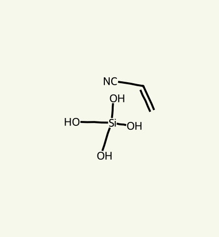 C=CC#N.O[Si](O)(O)O